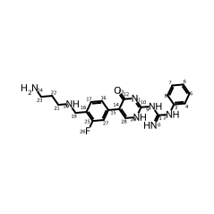 N=C(Nc1ccccc1)Nc1nc(=O)c(-c2ccc(CNCCCN)c(F)c2)c[nH]1